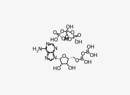 Nc1ncnc2c1ncn2[C@@H]1O[C@H](COB(O)OB(O)O)[C@@H](O)[C@H]1O.O=P(O)(O)OP(=O)(O)OP(=O)(O)O